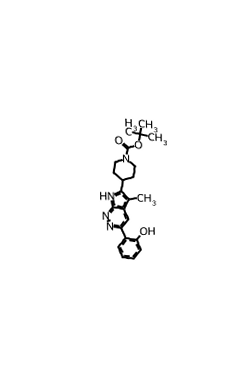 Cc1c(C2CCN(C(=O)OC(C)(C)C)CC2)[nH]c2nnc(-c3ccccc3O)cc12